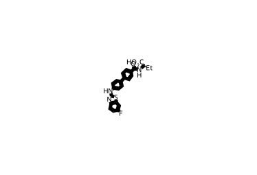 CC[C@H](NC(=O)c1ccc(-c2ccc(Nc3nc4ccc(F)cc4s3)cc2)cc1)C(=O)O